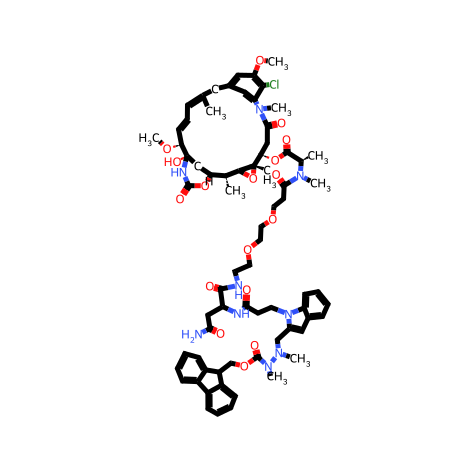 COc1cc2cc(c1Cl)N(C)C(=O)C[C@H](OC(=O)[C@H](C)N(C)C(=O)CCOCCOCCNC(=O)C(CC(N)=O)NC(=O)CCn1c(CN(C)N(C)C(=O)OCC3c4ccccc4-c4ccccc43)cc3ccccc31)[C@]1(C)OC1[C@H](C)[C@@H]1C[C@@](O)(NC(=O)O1)[C@H](OC)/C=C/C=C(\C)C2